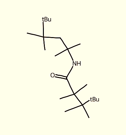 CC(C)(CC(C)(C)C(C)(C)C)NC(=O)C(C)(C)C(C)(C)C(C)(C)C